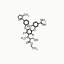 CCOC(=O)C(CO)N(C)c1c(F)c(Oc2cccc(C3=NCCN3C)c2)nc(Oc2cc(C(=N)N)ccc2O)c1F